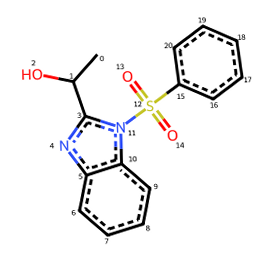 CC(O)c1nc2ccccc2n1S(=O)(=O)c1ccccc1